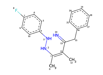 CC(NNc1ccc(F)cc1)=C(C)C(=N)Cc1ccccc1